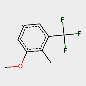 COc1c[c]cc(C(F)(F)F)c1C